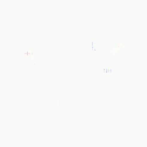 CC(C)(O)Cc1cc2[nH]c(=O)[nH]c2cc1F